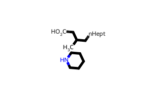 C1CCNCC1.CCCCCCCCC(C)CC(=O)O